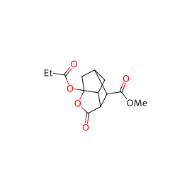 CCC(=O)OC12CC3CC1C(C(=O)O2)C3C(=O)OC